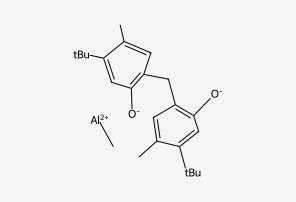 Cc1cc(Cc2cc(C)c(C(C)(C)C)cc2[O-])c([O-])cc1C(C)(C)C.[CH3][Al+2]